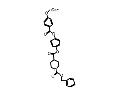 CCCCCCCCCCOc1ccc(C(=O)Oc2ccc(OC(=O)C3CCN(C(=O)OCc4ccccc4)CC3)cc2)cc1